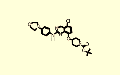 CC(C)(C)OC(=O)N1CCC(Oc2ccc(Cl)c3cnc(Nc4ccc(N5CCOCC5)cc4)nc23)CC1